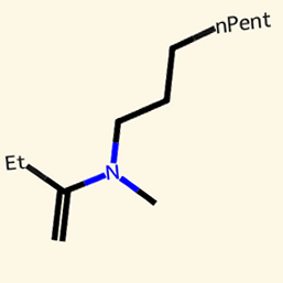 C=C(CC)N(C)CCCCCCCC